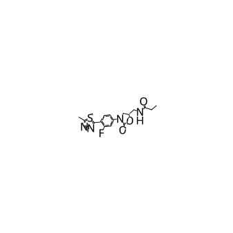 CCC(=O)NCC1CN(c2ccc(-c3nnc(C)s3)c(F)c2)C(=O)O1